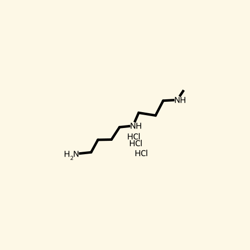 CNCCCNCCCCN.Cl.Cl.Cl